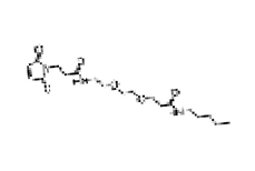 CCCCCNC(=O)CCOCCOCCNC(=O)CCN1C(=O)C=CC1=O